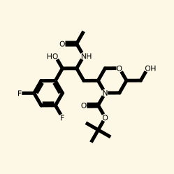 CC(=O)NC(CC1COC(CO)CN1C(=O)OC(C)(C)C)C(O)c1cc(F)cc(F)c1